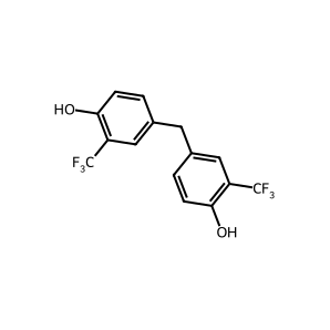 Oc1ccc(Cc2ccc(O)c(C(F)(F)F)c2)cc1C(F)(F)F